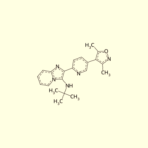 Cc1noc(C)c1-c1ccc(-c2nc3ccccn3c2NC(C)(C)C)nc1